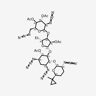 CC[C@H]1O[C@@H](O[C@@H]2[C@@H](OC(C)=O)[C@H](N=[N+]=[N-])C[C@H](N=[N+]=[N-])[C@H]2O[C@H]2O[C@H](C3(C)CC3)CC[C@H]2N=[N+]=[N-])[C@H](OC(C)=O)[C@@H]1O[C@H]1O[C@@H](CN=[N+]=[N-])[C@@H](OC(C)=O)[C@H](OC(C)=O)[C@H]1N=[N+]=[N-]